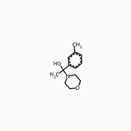 [CH2]C(O)(c1cccc(C)c1)N1CCOCC1